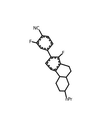 CCCC1CCC2c3ccc(-c4ccc(C#N)c(F)c4)c(F)c3CCC2C1